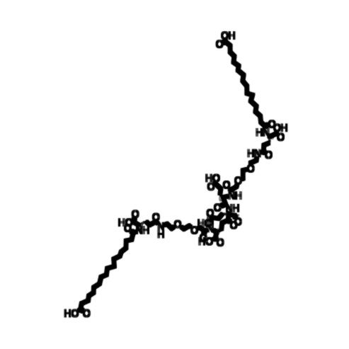 O=[C][C@](CCC(=O)O)(NC(=O)[C@H](CCC(=O)O)NC(=O)COCCOCCNC(=O)CC[C@H](NC(=O)CCCCCCCCCCCCCCCCC(=O)O)C(=O)O)C(=O)CC[C@H](NC(=O)COCCOCCNC(=O)CC[C@H](NC(=O)CCCCCCCCCCCCCCCCC(=O)O)C(=O)O)C(=O)O